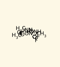 C[C@H](/C=C/S(C)(=O)=O)NC(=O)c1ncc(N[C@H](C)c2cccc(F)c2F)cn1